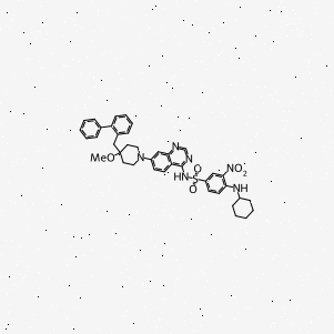 COC1(Cc2ccccc2-c2ccccc2)CCN(c2ccc3c(NS(=O)(=O)c4ccc(NC5CCCCC5)c([N+](=O)[O-])c4)ncnc3c2)CC1